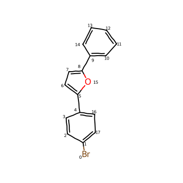 Brc1ccc(-c2ccc(-c3ccccc3)o2)cc1